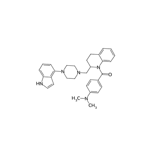 CN(C)c1ccc(C(=O)N2c3ccccc3CCC2CN2CCN(c3cccc4[nH]ccc34)CC2)cc1